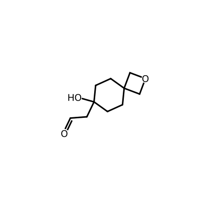 O=CCC1(O)CCC2(CC1)COC2